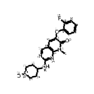 Cn1c(=O)c(Oc2ccccc2F)cc2cnc(NC3CC[S+]([O-])CC3)nc21